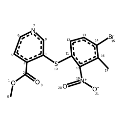 COC(=O)c1ccncc1Sc1ccc(Br)c(C)c1[N+](=O)[O-]